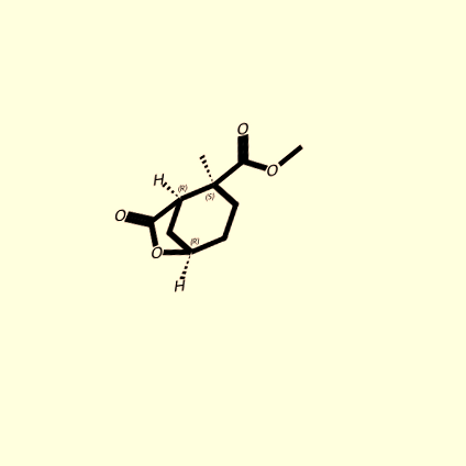 COC(=O)[C@@]1(C)CC[C@@H]2C[C@H]1C(=O)O2